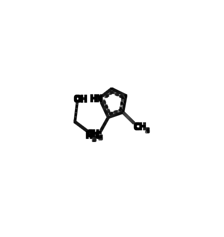 CCO.Cc1cc[nH]c1C